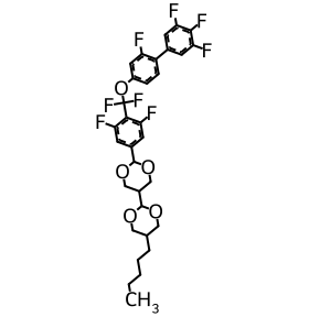 CCCCCC1COC(C2COC(c3cc(F)c(C(F)(F)Oc4ccc(-c5cc(F)c(F)c(F)c5)c(F)c4)c(F)c3)OC2)OC1